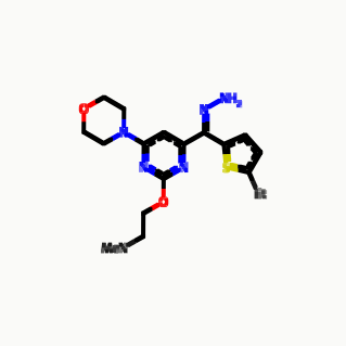 CCc1ccc(C(=NN)c2cc(N3CCOCC3)nc(OCCNC)n2)s1